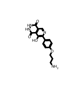 NCCCOc1ccc(-c2ncc3c(=O)[nH][nH]c(=O)c3c2O)cc1